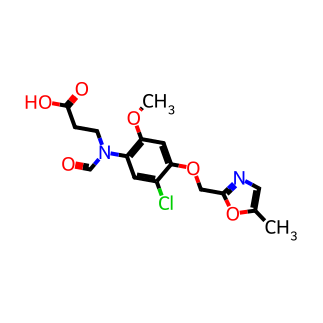 COc1cc(OCc2ncc(C)o2)c(Cl)cc1N(C=O)CCC(=O)O